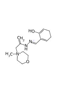 C=C(C[N+]1(C)CCOCC1)N/N=C/C1=CCCC=C1O